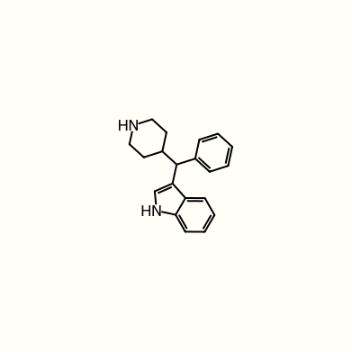 c1ccc(C(c2c[nH]c3ccccc23)C2CCNCC2)cc1